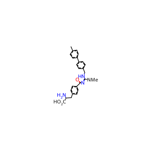 CNC(=NC(=O)c1ccc(C[C@H](N)C(=O)O)cc1)NCc1ccc(-c2ccc(C)cc2)cc1